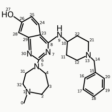 CN1CCCN(c2nc(NC3CCN(Cc4ccccc4)CC3)c3ccc(O)cc3n2)CC1